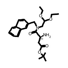 CCOC(CN(Cc1ccc2ccccc2c1)C(=O)[C@@H](N)CC(=O)OC(C)(C)C)OCC